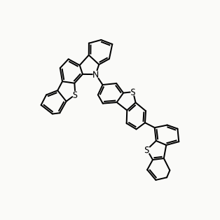 C1=Cc2sc3c(-c4ccc5c(c4)sc4cc(-n6c7ccccc7c7ccc8c9ccccc9sc8c76)ccc45)cccc3c2CC1